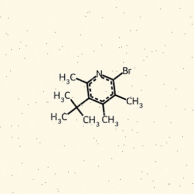 Cc1nc(Br)c(C)c(C)c1C(C)(C)C